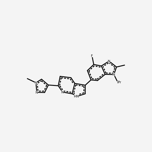 Cc1nc2c(F)cc(-c3c[nH]c4nc(-c5cnn(C)c5)ccc34)cc2n1C(C)C